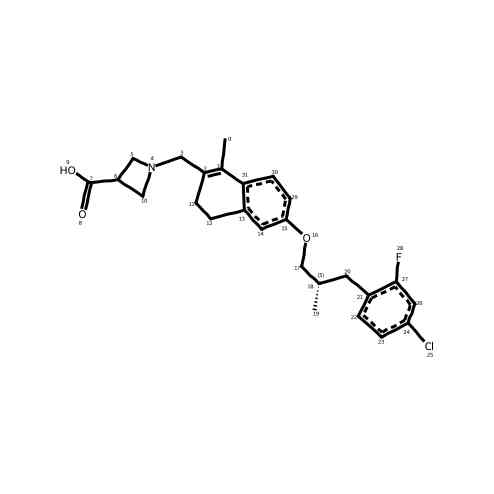 CC1=C(CN2CC(C(=O)O)C2)CCc2cc(OC[C@@H](C)Cc3ccc(Cl)cc3F)ccc21